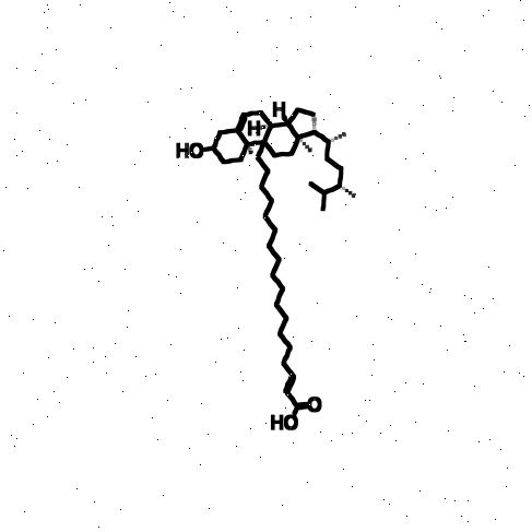 CC(C)[C@@H](C)CC[C@@H](C)[C@H]1CC[C@H]2[C@@H]3CC=C4CC(O)CC[C@]4(C)C3(CCCCCCCCCCCCCCCC=CC(=O)O)CC[C@]12C